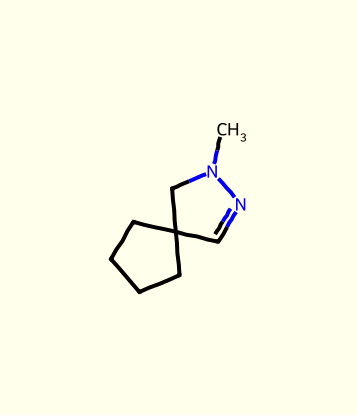 CN1CC2(C=N1)CCCC2